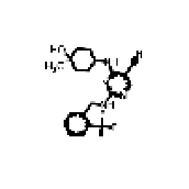 C[C@]1(O)CC[C@@H](Nc2nc(NCc3ccccc3C(F)(F)F)ncc2C#N)CC1